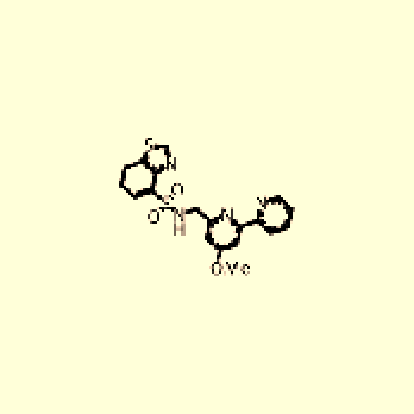 COc1cc(CNS(=O)(=O)C2=CCCc3scnc32)nc(-c2ccccn2)c1